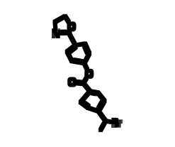 CC(Br)c1ccc(C(=O)Oc2ccc(C3=NCCO3)cc2)cc1